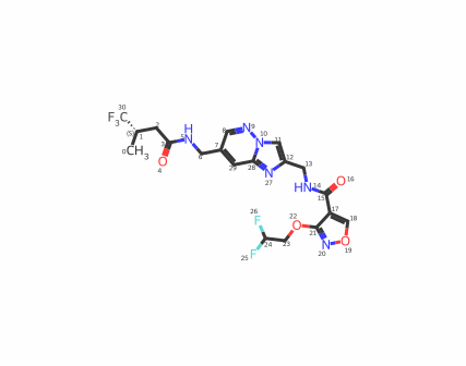 C[C@@H](CC(=O)NCc1cnn2cc(CNC(=O)c3conc3OCC(F)F)nc2c1)C(F)(F)F